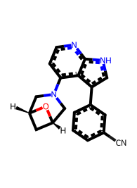 N#Cc1cccc(-c2c[nH]c3nccc(N4C[C@H]5C[C@@H](C4)O5)c23)c1